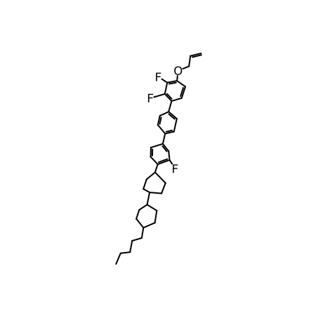 C=CCOc1ccc(-c2ccc(-c3ccc(C4CCC(C5CCC(CCCCC)CC5)CC4)c(F)c3)cc2)c(F)c1F